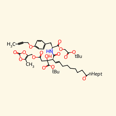 CC#CCOc1ccc(C[C@H](NC(=O)[C@@H](/C=C/CCCCCCC(=O)CCCCCCC)[C@@](O)(CC(=O)OCc2oc(=O)oc2C)C(=O)OC(C)(C)C)C(=O)OCC(=O)OC(C)(C)C)cc1